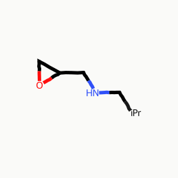 CC(C)CNCC1CO1